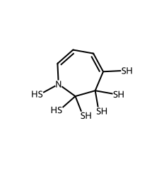 SC1=CC=CN(S)C(S)(S)C1(S)S